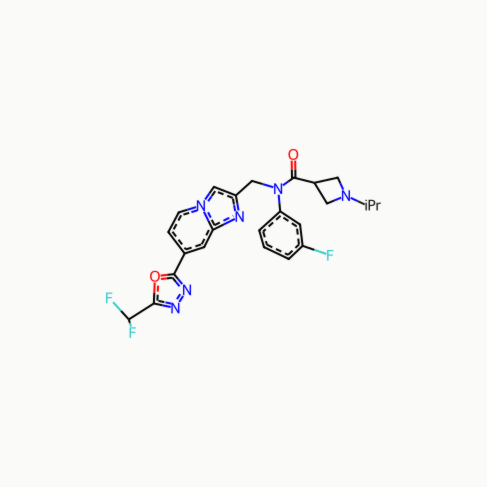 CC(C)N1CC(C(=O)N(Cc2cn3ccc(-c4nnc(C(F)F)o4)cc3n2)c2cccc(F)c2)C1